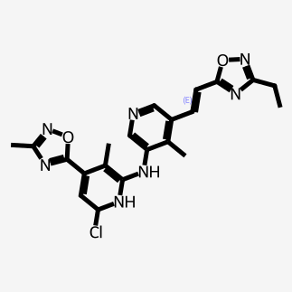 CCc1noc(/C=C/c2cncc(NC3=C(C)C(c4nc(C)no4)=CC(Cl)N3)c2C)n1